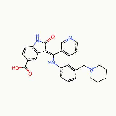 O=C1Nc2ccc(C(=O)O)cc2C1=C(Nc1cccc(CN2CCCCC2)c1)c1cccnc1